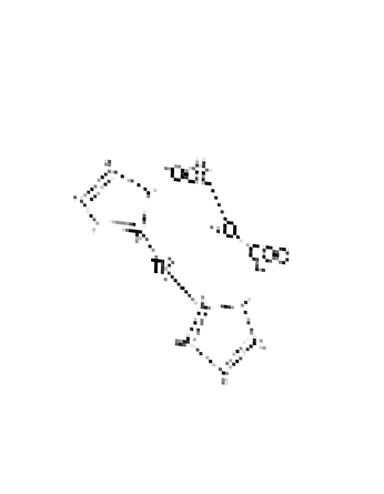 C1=CC[C]([Ti+2][C]2=CC=CC2)=C1.O=C([O-])OC(=O)[O-]